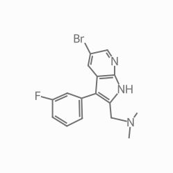 CN(C)Cc1[nH]c2ncc(Br)cc2c1-c1cccc(F)c1